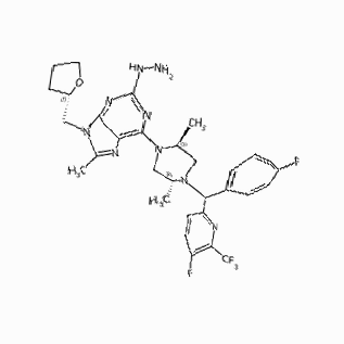 Cc1nc2c(N3C[C@@H](C)N(C(c4ccc(F)cc4)c4ccc(F)c(C(F)(F)F)n4)C[C@@H]3C)nc(NN)nc2n1C[C@@H]1CCCO1